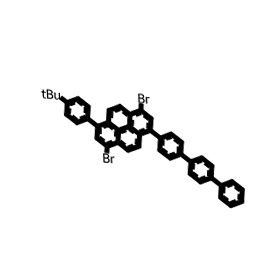 CC(C)(C)c1ccc(-c2cc(Br)c3ccc4c(-c5ccc(-c6ccc(-c7ccccc7)cc6)cc5)cc(Br)c5ccc2c3c54)cc1